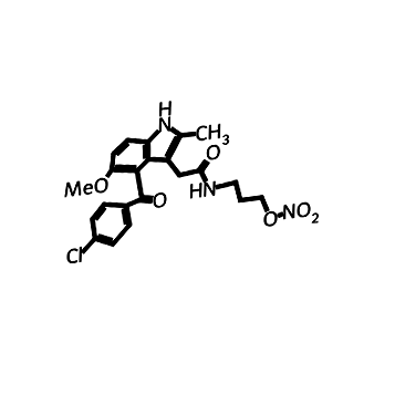 COc1ccc2[nH]c(C)c(CC(=O)NCCCO[N+](=O)[O-])c2c1C(=O)c1ccc(Cl)cc1